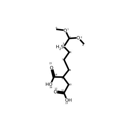 COC(OC)[SiH2]CCCC(CC(=O)O)C(=O)O